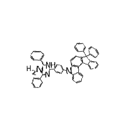 N/C(=N\C(NCc1ccccc1)c1ccc(-n2c3ccccc3c3c4c(ccc32)C(c2ccccc2)(c2ccccc2)c2ccccc2-4)cc1)c1ccccc1